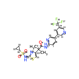 CC(C)(C(=O)Nc1ccc(-c2cncc(C(F)(F)F)c2)cn1)c1csc(NS(=O)(=O)C2CC2)n1